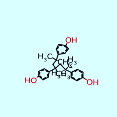 CC(C)(CC(C)(CC(C)(C)c1ccc(O)cc1)c1ccc(O)cc1)c1ccc(O)cc1